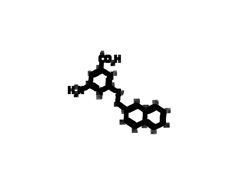 Nc1cc(C(=O)O)nc(SCc2ccc3ccccc3c2)n1